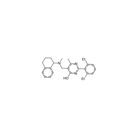 CCc1cccc(CC)c1-c1nc(C)c(CN(C)C2CCCc3ccccc32)c(O)n1